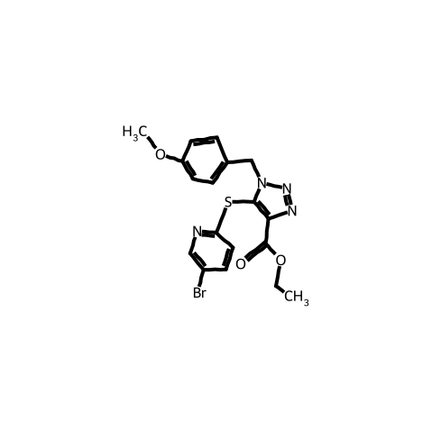 CCOC(=O)c1nnn(Cc2ccc(OC)cc2)c1Sc1ccc(Br)cn1